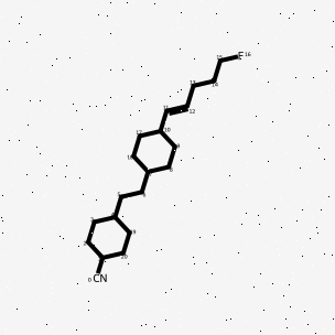 N#CC1CCC(CCC2CCC(/C=C/CCCF)CC2)CC1